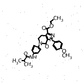 CCOC(=O)c1nn(-c2ccc(OC)cc2)c2c1CCN(c1ccc(NC(=O)C(C)C)cc1)C2=O